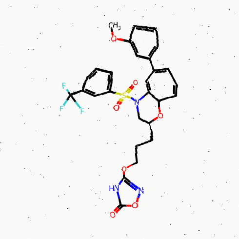 COc1cccc(C2=CC=CC3O[C@@H](CCCOc4noc(=O)[nH]4)CN(S(=O)(=O)c4cccc(C(F)(F)F)c4)C3=C2)c1